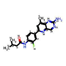 Cc1cc(-c2ccc(NC(=O)CC(C)C)c(F)c2)nc2cnc(N)nc12